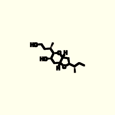 CC[C@H](C)[C@@H]1C[C@H]2O[C@@H]([C@@H](C)CCO)[C@@H](O)C[C@H]2O1